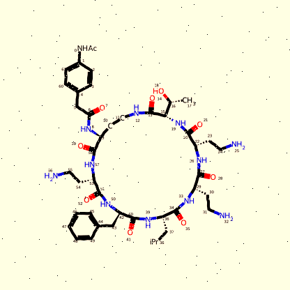 CC(=O)Nc1ccc(CC(=O)N[C@H]2CCNC(=O)[C@H]([C@@H](C)O)NC(=O)[C@H](CCN)NC(=O)[C@H](CCN)NC(=O)[C@H](CC(C)C)NC(=O)[C@@H](Cc3ccccc3)NC(=O)[C@H](CCN)NC2=O)cc1